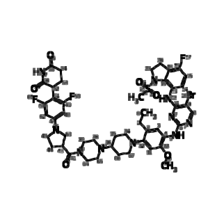 CCc1cc(Nc2ncc(Br)c(Nc3ccc(F)c4c3N(S(C)(=O)=O)CC4)n2)c(OC)cc1N1CCC(N2CCN(C(=O)C3CCN(c4cc(F)c(C5CCC(=O)NC5=O)c(F)c4)C3)CC2)CC1